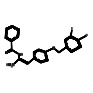 O=C(O)C(=Cc1ccc(OCc2ccc(F)c(F)c2)cc1)NC(=O)c1ccccc1